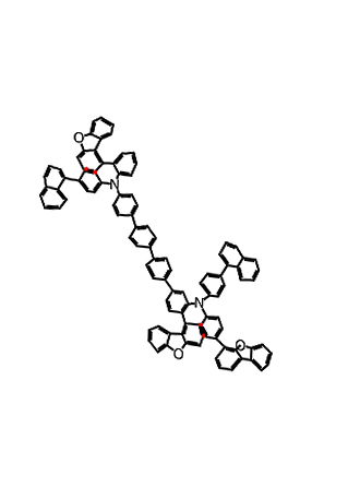 c1ccc(N(c2ccc(-c3ccc(-c4ccc(-c5ccc(-c6cccc7oc8ccccc8c67)c(N(c6ccc(-c7cccc8ccccc78)cc6)c6ccc(-c7cccc8c7oc7ccccc78)cc6)c5)cc4)cc3)cc2)c2ccc(-c3cccc4ccccc34)cc2)c(-c2cccc3oc4ccccc4c23)c1